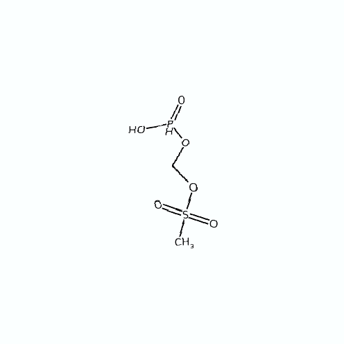 CS(=O)(=O)OCO[PH](=O)O